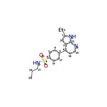 CCc1cc2c(-c3ccc(S(=O)(=O)NCCI)cc3)ccnc2[nH]1